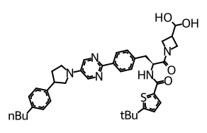 CCCCc1ccc(C2CCN(c3cnc(-c4ccc(C[C@H](NC(=O)c5ccc(C(C)(C)C)s5)C(=O)N5CC(C(O)O)C5)cc4)nc3)C2)cc1